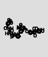 CS(=O)(=O)N1CCC(C(=O)NCC(=O)NC2NC(c3cccc(C4CCNC(C5(C(=O)N6CC(COc7ccc8c(c7)C(=O)N(C7CCC(=O)NC7=O)C8=O)C6)CC5)C4)c3)CS2)C1